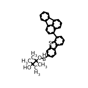 CC(C)(O)C(C)(C)OBc1ccc2c(c1)sc1c(-c3ccc4c5c(cccc35)-c3ccccc3-4)cccc12